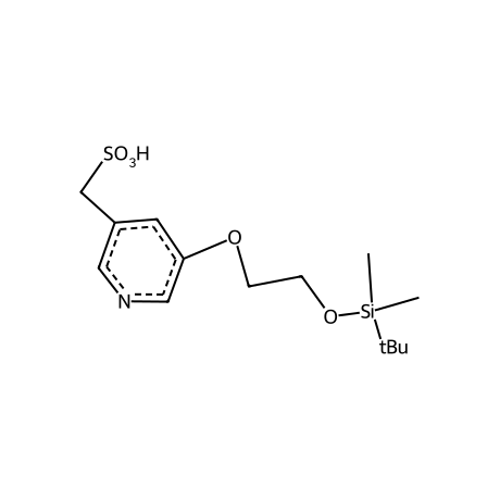 CC(C)(C)[Si](C)(C)OCCOc1cncc(CS(=O)(=O)O)c1